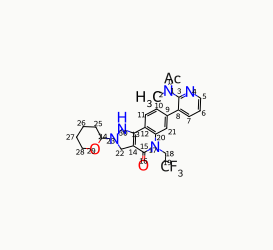 CC(=O)N(C)c1ncccc1-c1ccc2c3c(c(=O)n(CC(F)(F)F)c2c1)CN(C1CCCCO1)N3